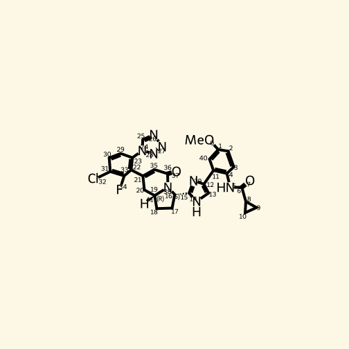 COc1ccc(NC(=O)C2CC2)c(-c2c[nH]c([C@@H]3CC[C@@H]4CC(c5c(-n6cnnn6)ccc(Cl)c5F)=CC(=O)N43)n2)c1